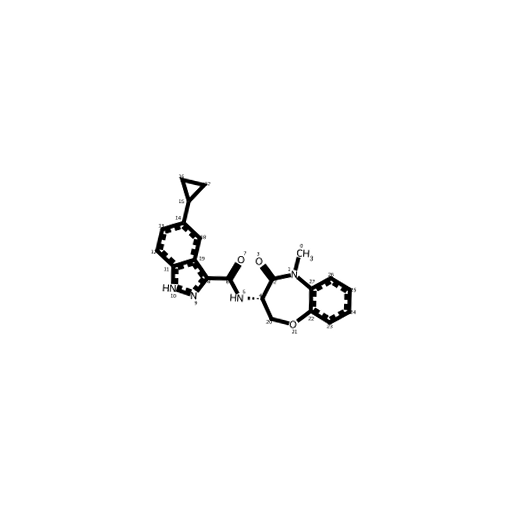 CN1C(=O)[C@@H](NC(=O)c2n[nH]c3ccc(C4CC4)cc23)COc2ccccc21